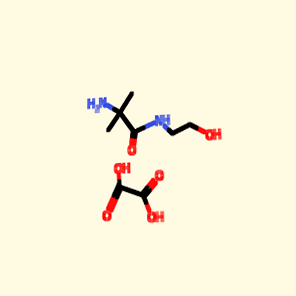 CC(C)(N)C(=O)NCCO.O=C(O)C(=O)O